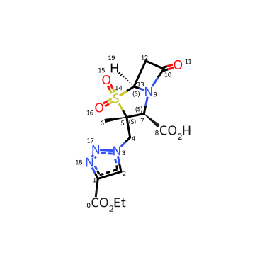 CCOC(=O)c1cn(C[C@@]2(C)[C@H](C(=O)O)N3C(=O)C[C@@H]3S2(=O)=O)nn1